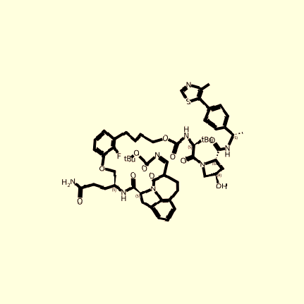 Cc1ncsc1-c1ccc([C@H](C)NC(=O)[C@@H]2C[C@@H](O)CN2C(=O)[C@@H](NC(=O)OCCCCc2cccc(OC[C@H](CCC(N)=O)NC(=O)[C@@H]3Cc4cccc5c4N3C(=O)C(C=NC(=O)OC(C)(C)C)CC5)c2F)C(C)(C)C)cc1